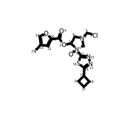 O=C(OC1CN(CCl)C[N+]1([O-])c1nnc(C2CCC2)s1)c1cc(I)co1